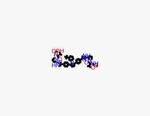 COC(=O)N[C@H](C(=O)N1CCC[C@H]1c1nc(-c2ccc(-c3ccc(-c4ccc(-c5c[nH]c([C@@H]6CCCN6C(=O)[C@H](C(C)C)N(C)C(=O)O)n5)cc4)n3-c3cccc(C(C)(C)C)c3)cc2)c[nH]1)C(C)C